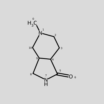 CN1CCC2C(=O)NCC2C1